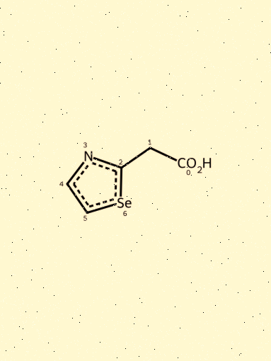 O=C(O)Cc1ncc[se]1